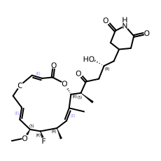 CO[C@H]1/C=C/CC/C=C/C(=O)O[C@H]([C@H](C)C(=O)C[C@H](O)CC2CC(=O)NC(=O)C2)/C(C)=C\[C@@H](C)[C@H]1F